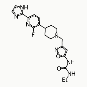 CCNC(=O)Nc1cc(CN2CCC(c3ccc(-c4ncc[nH]4)nc3F)CC2)no1